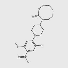 COc1cc(N2CCC(N3CCCCCOC3=O)CC2)c(Br)cc1[N+](=O)[O-]